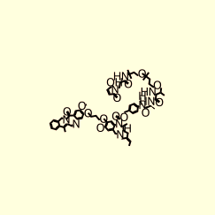 C/C=C1/C[C@H]2C(C)N(C(=O)OCc3ccc(NC(=O)[C@H](C)NC(=O)[C@@H](NC(=O)CCC(C)(C)OCCC(C)(C)NC(=O)CCN4C(=O)C=CC4O)C(C)C)cc3)c3cc(OCCCOc4cc5c(cc4OC)C(=O)N4Cc6ccccc6C(C)=C4C=N5)c(OC)cc3CN2C1